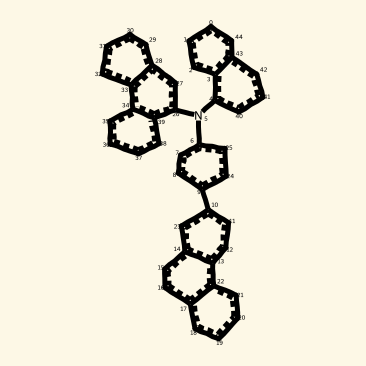 c1ccc2c(N(c3ccc(-c4ccc5c(ccc6ccccc65)c4)cc3)c3cc4ccccc4c4ccccc34)cccc2c1